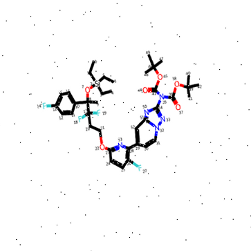 CC[Si](CC)(CC)OC(C)(c1ccc(F)cc1)C(F)(F)CCOc1ccc(F)c(-c2ccn3nc(N(C(=O)OC(C)(C)C)C(=O)OC(C)(C)C)nc3c2)n1